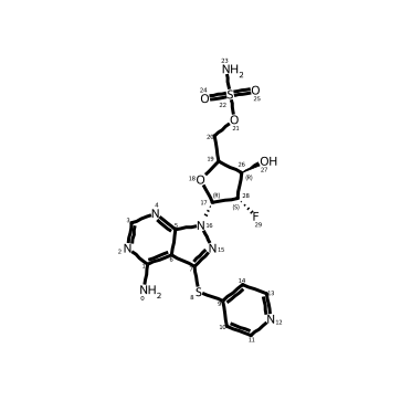 Nc1ncnc2c1c(Sc1ccncc1)nn2[C@@H]1OC(COS(N)(=O)=O)[C@@H](O)[C@@H]1F